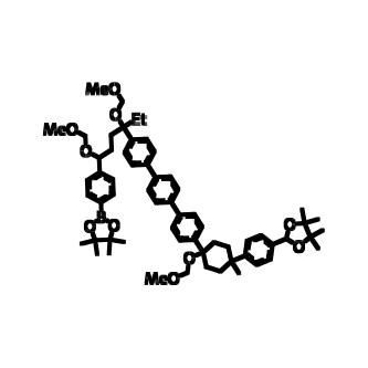 CCC(CCC(OCOC)c1ccc(B2OC(C)(C)C(C)(C)O2)cc1)(OCOC)c1ccc(-c2ccc(-c3ccc(C4(OCOC)CCC(C)(c5ccc(C6OC(C)(C)C(C)(C)O6)cc5)CC4)cc3)cc2)cc1